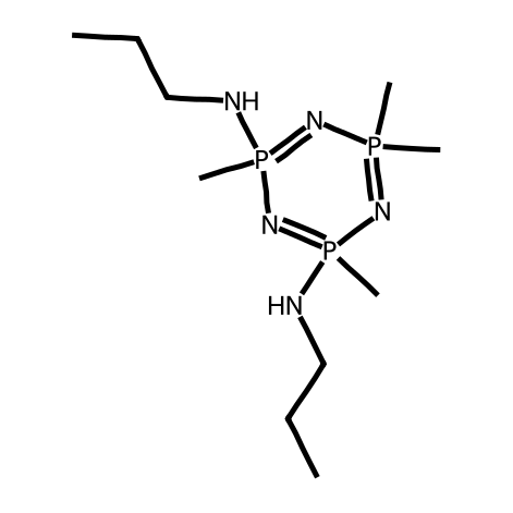 CCCNP1(C)=NP(C)(C)=NP(C)(NCCC)=N1